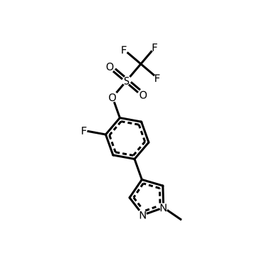 Cn1cc(-c2ccc(OS(=O)(=O)C(F)(F)F)c(F)c2)cn1